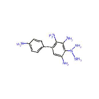 Nc1ccc(-c2cc(N)c(N(N)N)c(N)c2N)cc1